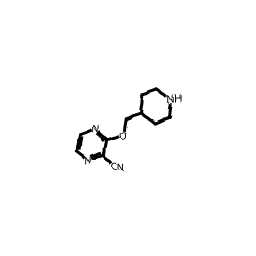 N#Cc1nccnc1OCC1CCNCC1